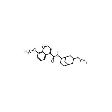 CCC1CC2CCC(NC(=O)C3=CCOc4c(OC)cccc43)C(C1)C2